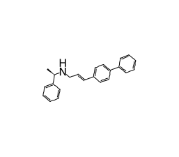 C[C@@H](NCC=Cc1ccc(-c2ccccc2)cc1)c1ccccc1